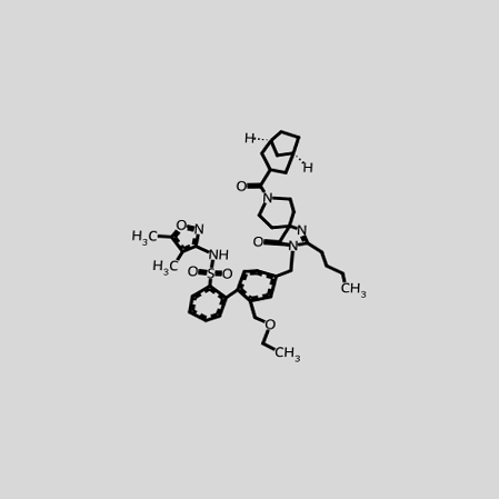 CCCCC1=NC2(CCN(C(=O)C3C[C@H]4CC[C@@H](C3)C4)CC2)C(=O)N1Cc1ccc(-c2ccccc2S(=O)(=O)Nc2noc(C)c2C)c(COCC)c1